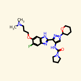 CN(C)CCCOc1cc2[nH]c(-c3nn(C4CCCCO4)cc3NC(=O)N3CCCC3)nc2cc1F